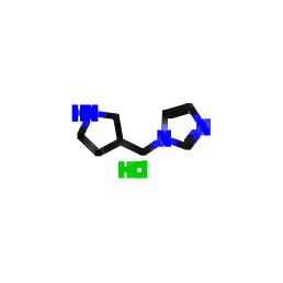 Cl.c1cn(CC2CCNC2)cn1